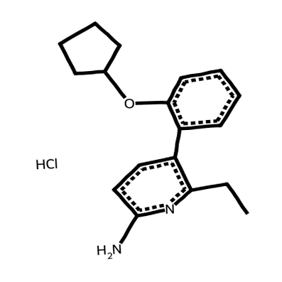 CCc1nc(N)ccc1-c1ccccc1OC1CCCC1.Cl